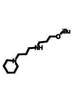 CCC(C)OCCCNCCCN1CCCCC1